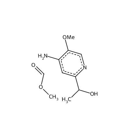 COC=O.COc1cnc(C(C)O)cc1N